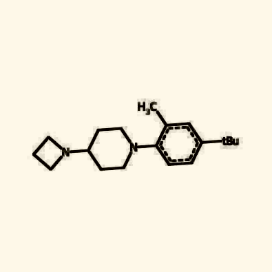 Cc1cc(C(C)(C)C)ccc1N1CCC(N2CCC2)CC1